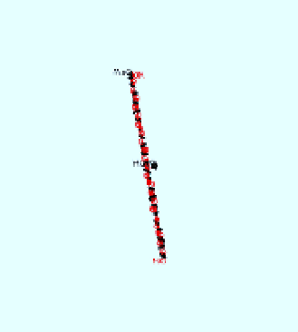 C=CC(=O)O.COC(O)COCCOCCOCCOCCOCCOCCOCCOCCOCCOCCOCCOCCOCCOCCOCCOCCOCCOCCOCCOCCOCCO